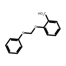 O=C(O)c1ccccc1OCSc1ccccc1